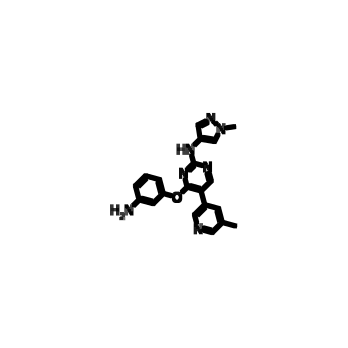 Cc1cncc(-c2cnc(Nc3cnn(C)c3)nc2Oc2cccc(N)c2)c1